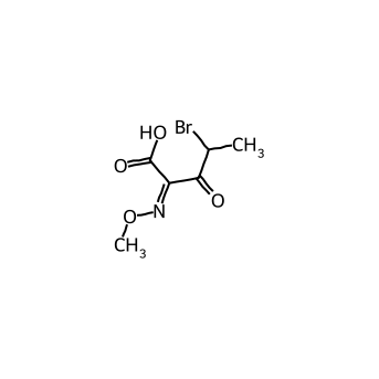 CON=C(C(=O)O)C(=O)C(C)Br